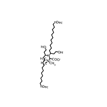 CCCCCCCCCCCCCCCCCCCCCC(CCO)N(C(CCO)CCCCCCCCCCCCCCCCCCCCC)C(C(=O)[O-])[N+](C)(C)C